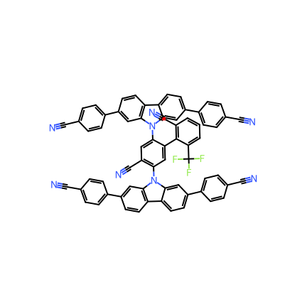 N#Cc1ccc(-c2ccc3c4ccc(-c5ccc(C#N)cc5)cc4n(-c4cc(-c5c(C#N)cccc5C(F)(F)F)c(-n5c6cc(-c7ccc(C#N)cc7)ccc6c6ccc(-c7ccc(C#N)cc7)cc65)cc4C#N)c3c2)cc1